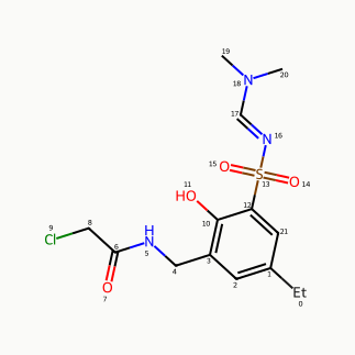 CCc1cc(CNC(=O)CCl)c(O)c(S(=O)(=O)/N=C/N(C)C)c1